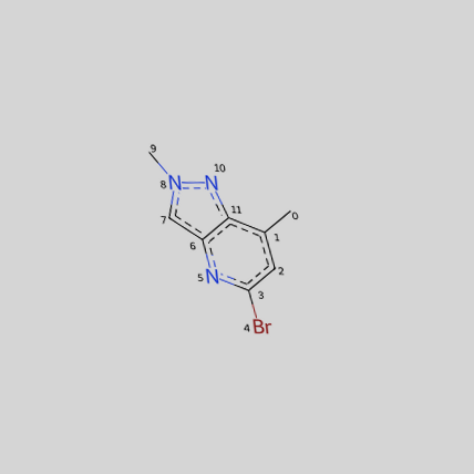 Cc1cc(Br)nc2cn(C)nc12